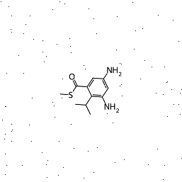 CSC(=O)c1cc(N)cc(N)c1C(C)C